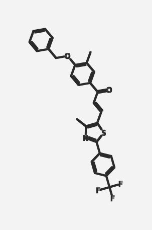 Cc1cc(C(=O)/C=C/c2sc(-c3ccc(C(F)(F)F)cc3)nc2C)ccc1OCc1ccccc1